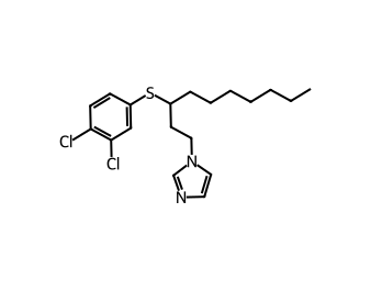 CCCCCCCC(CCn1ccnc1)Sc1ccc(Cl)c(Cl)c1